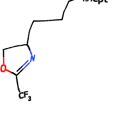 CCCCCCCCCCC1COC(C(F)(F)F)=N1